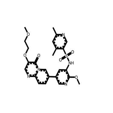 COCCOc1cnc2ccc(-c3cnc(OC)c(NS(=O)(=O)c4cnc(C)cc4C)c3)cn2c1=O